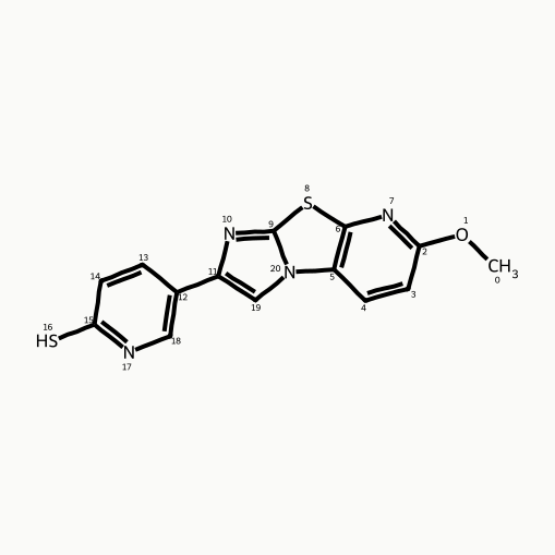 COc1ccc2c(n1)sc1nc(-c3ccc(S)nc3)cn12